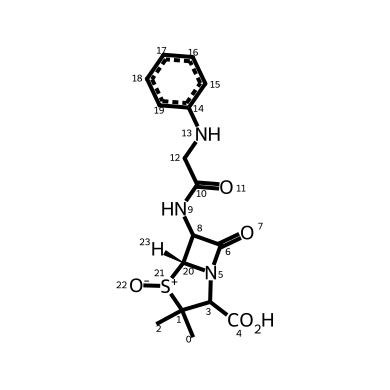 CC1(C)C(C(=O)O)N2C(=O)C(NC(=O)CNc3ccccc3)[C@H]2[S+]1[O-]